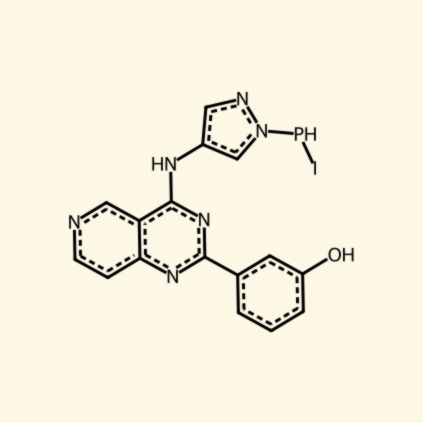 Oc1cccc(-c2nc(Nc3cnn(PI)c3)c3cnccc3n2)c1